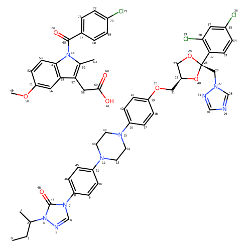 CCC(C)n1ncn(-c2ccc(N3CCN(c4ccc(OC[C@H]5CO[C@](Cn6cncn6)(c6ccc(Cl)cc6Cl)O5)cc4)CC3)cc2)c1=O.COc1ccc2c(c1)c(CC(=O)O)c(C)n2C(=O)c1ccc(Cl)cc1